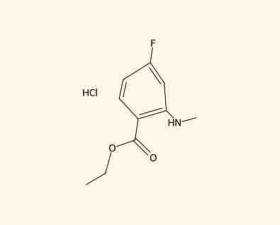 CCOC(=O)c1ccc(F)cc1NC.Cl